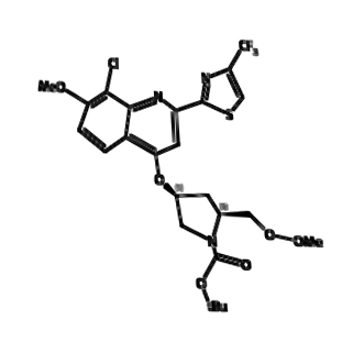 COOC[C@@H]1C[C@H](Oc2cc(-c3nc(C(F)(F)F)cs3)nc3c(Cl)c(OC)ccc23)CN1C(=O)OC(C)(C)C